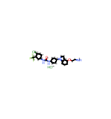 CNCCOc1cccc2c1ccn2-c1ccc(NC(=O)Nc2ccc(Cl)c(C(F)(F)F)c2)cc1.Cl